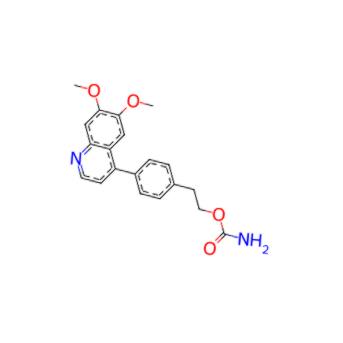 COc1cc2nccc(-c3ccc(CCOC(N)=O)cc3)c2cc1OC